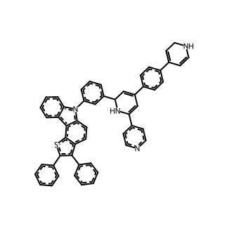 C1=CC(c2ccc(C3=CC(c4cccc(-n5c6ccccc6c6c7sc(-c8ccccc8)c(-c8ccccc8)c7ccc65)c4)NC(c4ccncc4)=C3)cc2)=CCN1